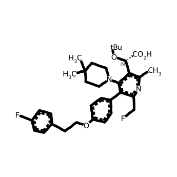 Cc1nc(CF)c(-c2ccc(OCCc3ccc(F)cc3)cc2)c(N2CCC(C)(C)CC2)c1[C@H](OC(C)(C)C)C(=O)O